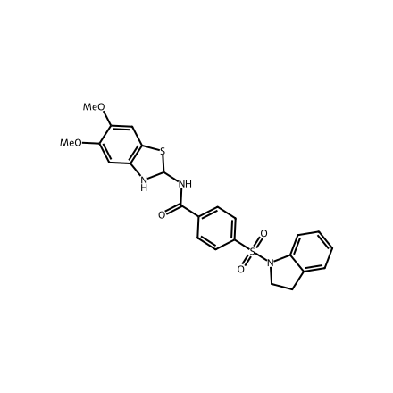 COc1cc2c(cc1OC)SC(NC(=O)c1ccc(S(=O)(=O)N3CCc4ccccc43)cc1)N2